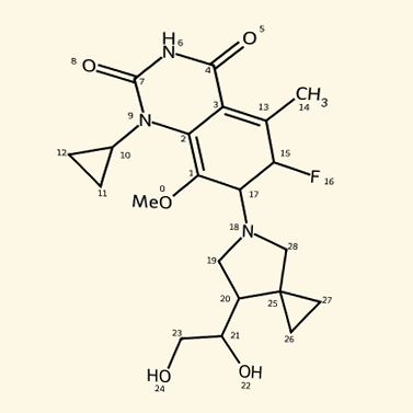 COC1=c2c(c(=O)[nH]c(=O)n2C2CC2)=C(C)C(F)C1N1CC(C(O)CO)C2(CC2)C1